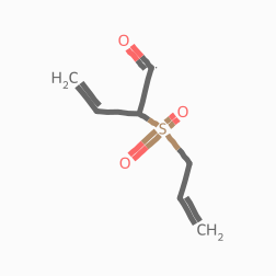 C=CCS(=O)(=O)C([C]=O)C=C